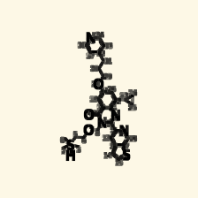 C[SH](C)(C)(C)CCOCn1c(-c2cc3ccsc3cn2)nc2c(C3CC3)cc(OCCCc3ccncc3)cc2c1=O